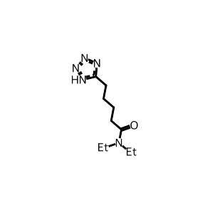 CCN(CC)C(=O)CCCCc1nnn[nH]1